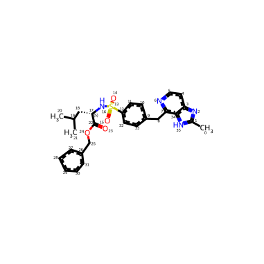 Cc1nc2ccnc(Cc3ccc(S(=O)(=O)N[C@@H](CC(C)C)C(=O)OCc4ccccc4)cc3)c2[nH]1